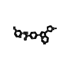 CN1CCC(c2cc(-c3ccc(C(=O)Nc4cc(F)ccn4)cc3)n3cnccc23)C1